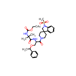 CC(=O)OCOC(=O)NC(C)(C)C(=O)NC(COC(C)c1ccccc1)C(=O)N1CCC2(CC1)CN(S(C)(=O)=O)c1ccccc12